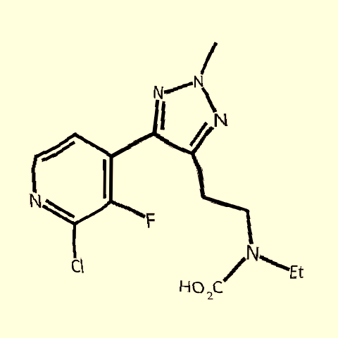 CCN(CCc1nn(C)nc1-c1ccnc(Cl)c1F)C(=O)O